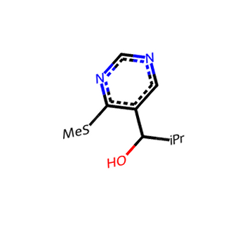 CSc1ncncc1C(O)C(C)C